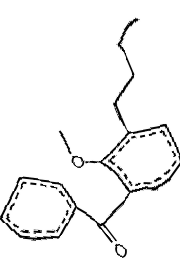 CCCCc1cccc(C(=O)c2ccccc2)c1OC